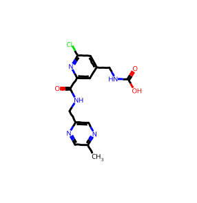 Cc1cnc(CNC(=O)c2cc(CNC(=O)O)cc(Cl)n2)cn1